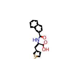 O=C(O)C(=Cc1ccsc1)NC(=O)c1ccc2ccccc2c1